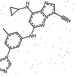 Cc1cc(Nc2cc(NC3CC3)c3ncc(C#N)n3n2)cc(-n2cncn2)c1